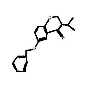 CC(C)C1COc2ccc(OCc3ccccc3)cc2C1=O